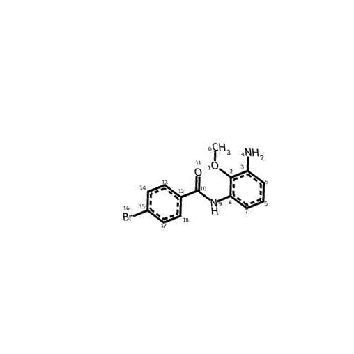 COc1c(N)cccc1NC(=O)c1ccc(Br)cc1